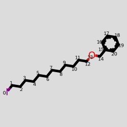 ICCCCCCCCCCCCOCc1ccccc1